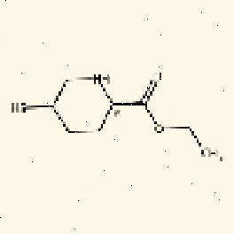 CCOC(=O)[C@H]1CCC(S)CN1